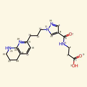 O=C(O)CCNC(=O)c1cnn(CCCc2ccc3c(n2)NCCC3)c1